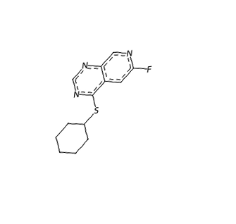 Fc1cc2c(SC3CCCCC3)ncnc2cn1